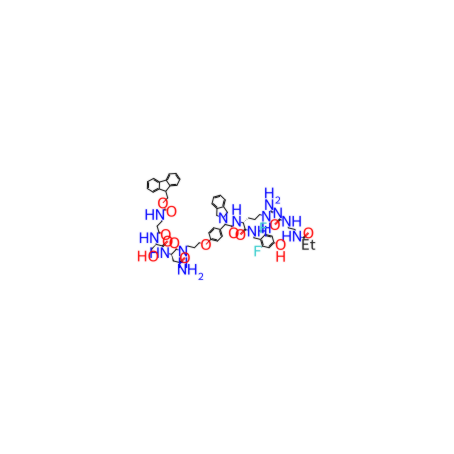 CCC(=O)NCCNC(=O)/N=C(/N)NCCC[C@@H](NC(=O)[C@H](c1ccc(OCCCNC(=O)[C@@H](CC(N)=O)NC(=O)[C@@H](CO)NC(=O)CCNC(=O)OCC2c3ccccc3-c3ccccc32)cc1)N1Cc2ccccc2C1)C(=O)NCc1c(F)cc(O)cc1F